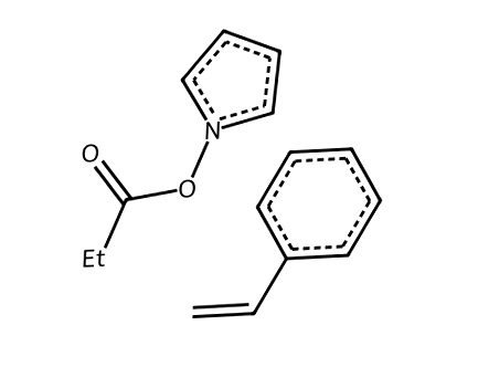 C=Cc1ccccc1.CCC(=O)On1cccc1